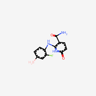 Bc1ccc(Nc2[nH]c(=O)ccc2C(N)=O)c(F)c1